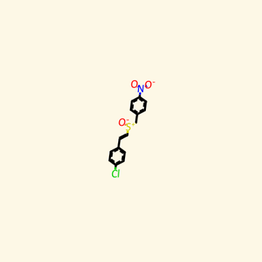 O=[N+]([O-])c1ccc(C[S+]([O-])/C=C/c2ccc(Cl)cc2)cc1